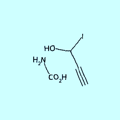 C#CC(O)I.NC(=O)O